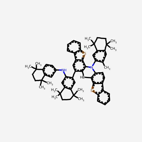 Cc1cc2c(cc1N1c3ccc4c(sc5ccccc54)c3Bc3c(-c4cc5c(cc4Nc4ccc6c(c4)C(C)(C)CCC6(C)C)C(C)(C)CCC5(C)C)cc4c(sc5ccccc54)c31)C(C)(C)CCC2(C)C